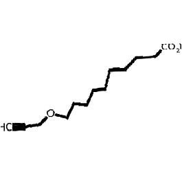 C#CCOCCCCCCCCCC(=O)O